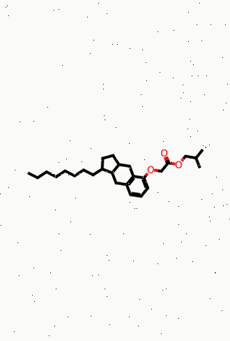 CCCCCCCCC1CCC2Cc3c(cccc3OCC(=O)OCC(C)C)CC12